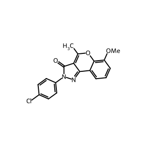 COc1cccc2c3nn(-c4ccc(Cl)cc4)c(=O)c-3c(C)oc12